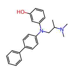 CC(CN(c1ccc(-c2ccccc2)cc1)c1cccc(O)c1)N(C)C